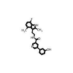 Cc1[nH]c2c(F)ccc(C)c2c1CCNC(=O)c1cncc(-c2cccc(O)c2)c1